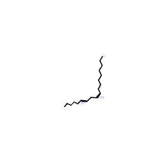 [CH2]CCCCCCC/C=C\C/C=C/CCCCC